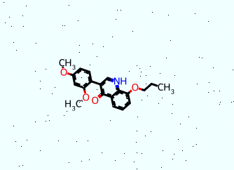 CCCOc1cccc2c(=O)c(-c3ccc(OC)cc3OC)c[nH]c12